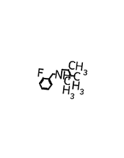 CC(C)[C@@H](C)CNCc1ccccc1F